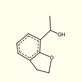 CC(O)c1cccc2c1OCC2